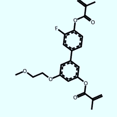 C=C(C)C(=O)Oc1cc(OCCOC)cc(-c2ccc(OC(=O)C(=C)C)c(F)c2)c1